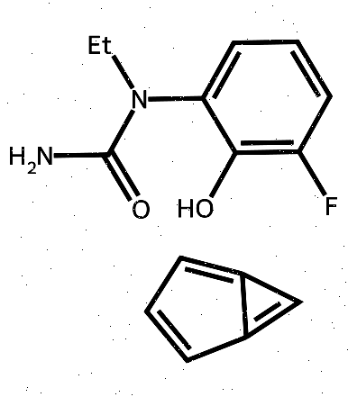 CCN(C(N)=O)c1cccc(F)c1O.c1cc2cc-2c1